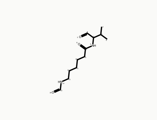 CC(C)C(C=O)NC(=O)CCCCCNC=O